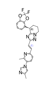 Cc1cn(-c2ccc(/C=C/c3nc4n(n3)CCC[C@@H]4c3cccc4c3OC(F)(F)O4)nc2C)cn1